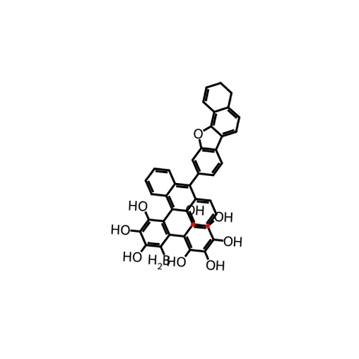 Bc1c(O)c(O)c(O)c(-c2c3ccccc3c(-c3ccc4c(c3)oc3c5c(ccc34)CCC=C5)c3ccccc23)c1-c1c(O)c(O)c(O)c(O)c1O